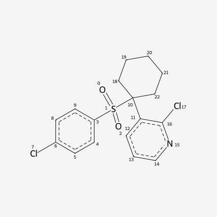 O=S(=O)(c1ccc(Cl)cc1)C1(c2cccnc2Cl)CCCCC1